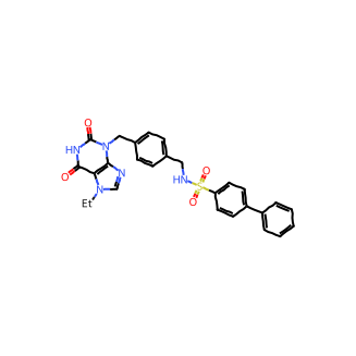 CCn1cnc2c1c(=O)[nH]c(=O)n2Cc1ccc(CNS(=O)(=O)c2ccc(-c3ccccc3)cc2)cc1